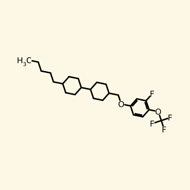 CCCCCC1CCC(C2CCC(COc3ccc(OC(F)(F)F)c(F)c3)CC2)CC1